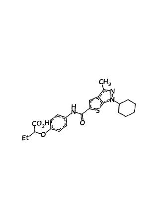 CCC(Oc1ccc(NC(=O)c2cc3c(C)nn(C4CCCCC4)c3s2)cc1)C(=O)O